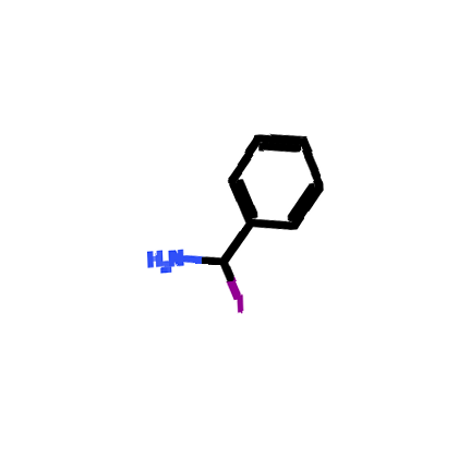 NC(I)c1ccccc1